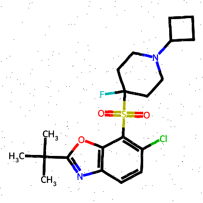 CC(C)(C)c1nc2ccc(Cl)c(S(=O)(=O)C3(F)CCN(C4CCC4)CC3)c2o1